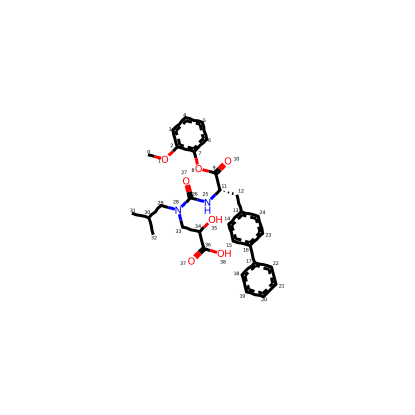 COc1ccccc1OC(=O)[C@H](Cc1ccc(-c2ccccc2)cc1)NC(=O)N(CC(C)C)CC(O)C(=O)O